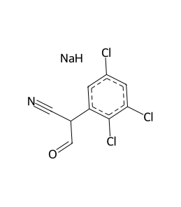 N#CC(C=O)c1cc(Cl)cc(Cl)c1Cl.[NaH]